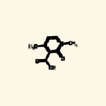 Cc1ccn(C)c(=O)c1C(=O)O